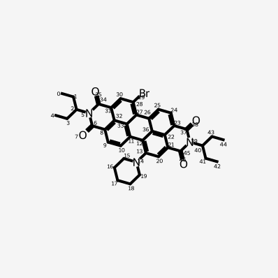 CCC(CC)N1C(=O)c2ccc3c4c(N5CCCCC5)cc5c6c(ccc(c7c(Br)cc(c2c37)C1=O)c64)C(=O)N(C(CC)CC)C5=O